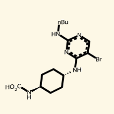 CCCCNc1ncc(Br)c(N[C@H]2CC[C@H](NC(=O)O)CC2)n1